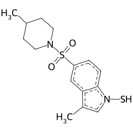 Cc1cn(S)c2ccc(S(=O)(=O)N3CCC(C)CC3)cc12